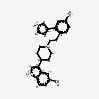 Oc1ccc(CCN2CCC(c3c[nH]c4ccc(O)cc34)CC2)c(-c2cc[nH]c2)c1